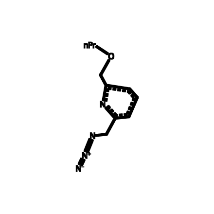 CCCOCc1cccc(CN=[N+]=[N-])n1